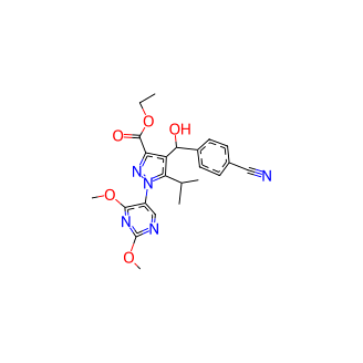 CCOC(=O)c1nn(-c2cnc(OC)nc2OC)c(C(C)C)c1C(O)c1ccc(C#N)cc1